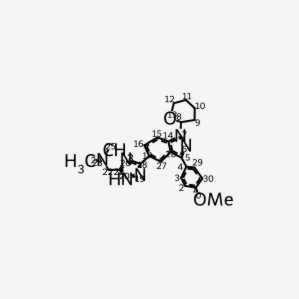 COc1ccc(-c2nn(C3CCCCO3)c3ccc(-c4n[nH]c(CN(C)C)n4)cc23)cc1